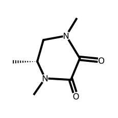 C[C@@H]1CN(C)C(=O)C(=O)N1C